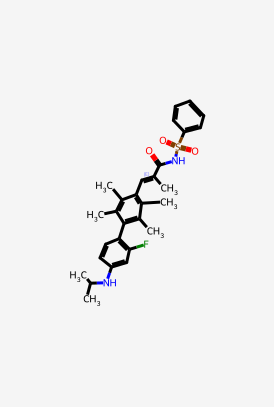 C/C(=C\c1c(C)c(C)c(-c2ccc(NC(C)C)cc2F)c(C)c1C)C(=O)NS(=O)(=O)c1ccccc1